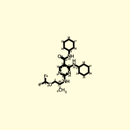 C[C@H](COC(F)F)Nc1ncc(C(=O)NC2CCCCC2)c(NC2CCCCC2)n1